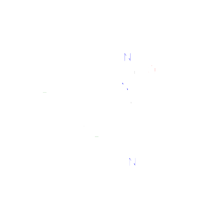 CN(C)CCCC1(c2ccccc2)C=C(c2cc(F)ccc2F)CN1C(=O)N(C)C